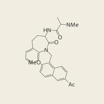 CNC(C)C(=O)NC1CCc2ccccc2N(Cc2c(OC)ccc3cc(C(C)=O)ccc23)C1=O